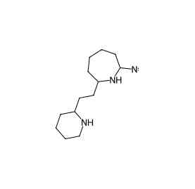 [N]C1CCCCC(CCC2CCCCN2)N1